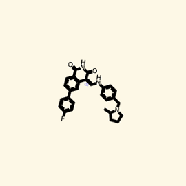 CC1CCCN1Cc1ccc(N/C=C2\C(=O)NC(=O)c3ccc(-c4ccc(F)cc4)cc32)cc1